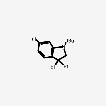 CCC1(CC)CN(C(C)(C)C)c2cc(Cl)ccc21